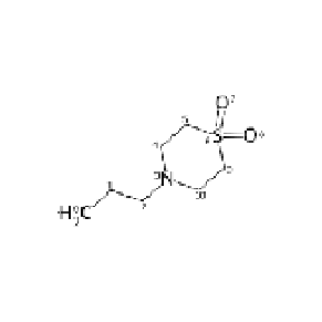 [CH2]CCN1CCS(=O)(=O)CC1